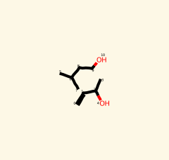 C=CC(C)O.CC(C)CCO